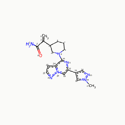 C=C(C(N)=O)C1CCCN(c2nc(-c3cnn(C)c3)cn3nccc23)C1